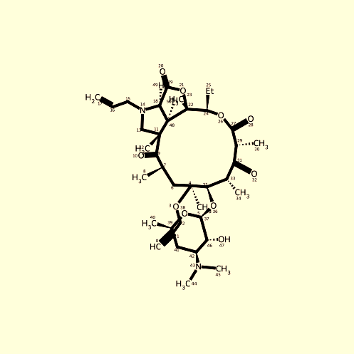 C#CCO[C@@]1(C)C[C@@H](C)C(=O)[C@]2(C)CN(CC=C)[C@H]3C(=O)O[C@](C)([C@@H](CC)OC(=O)[C@H](C)C(=O)[C@H](C)[C@H]1O[C@@H]1O[C@H](C)C[C@H](N(C)C)[C@H]1O)[C@H]32